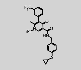 Cc1c(-c2cccc(C(F)(F)F)c2)c(=O)c(C(=O)NCc2ccc(SC3CC3)cc2)cn1C(C)C